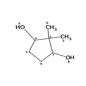 CC1(C)C(O)[CH]CC1O